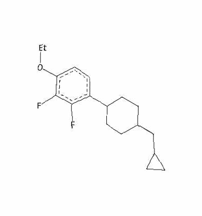 CCOc1ccc(C2CCC(CC3CC3)CC2)c(F)c1F